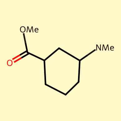 CNC1CCCC(C(=O)OC)C1